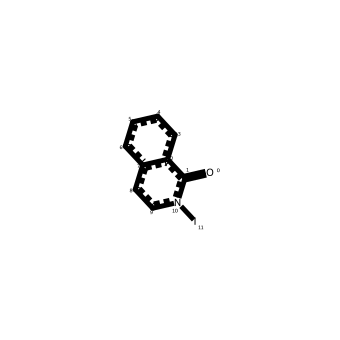 O=c1c2ccccc2ccn1I